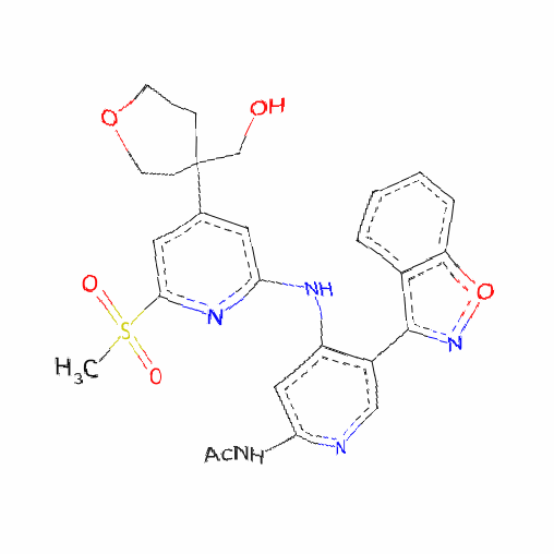 CC(=O)Nc1cc(Nc2cc(C3(CO)CCOC3)cc(S(C)(=O)=O)n2)c(-c2noc3ccccc23)cn1